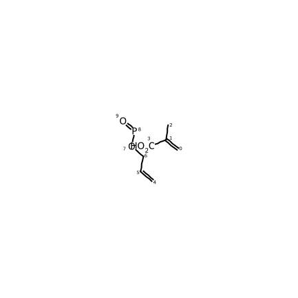 C=C(C)C(=O)O.C=CCOP=O